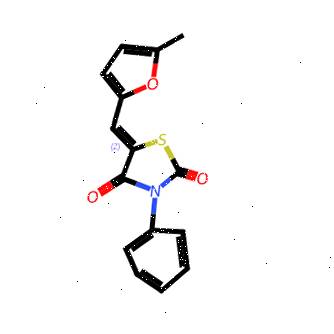 Cc1ccc(/C=C2\SC(=O)N(c3ccccc3)C2=O)o1